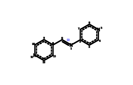 C(=N\c1ccncc1)/c1ccncc1